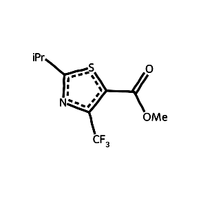 COC(=O)c1sc(C(C)C)nc1C(F)(F)F